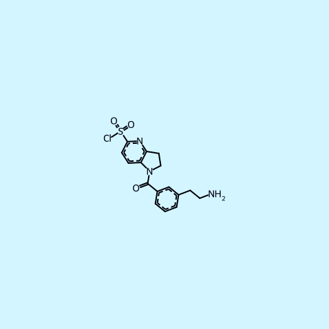 NCCc1cccc(C(=O)N2CCc3nc(S(=O)(=O)Cl)ccc32)c1